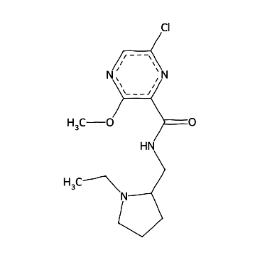 CCN1CCCC1CNC(=O)c1nc(Cl)cnc1OC